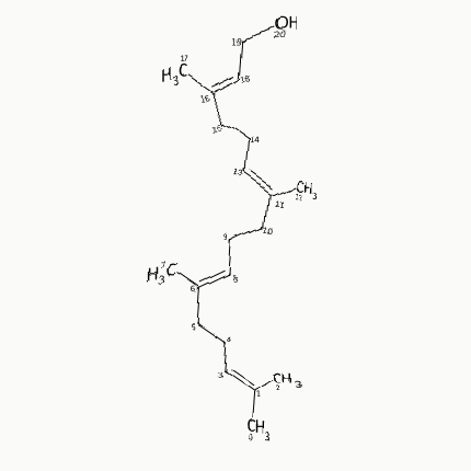 CC(C)=CCCC(C)=CCCC(C)=CCCC(C)=CCO